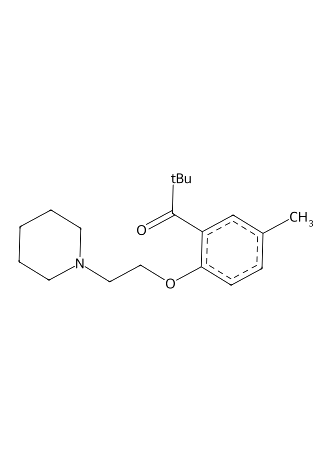 Cc1ccc(OCCN2CCCCC2)c(C(=O)C(C)(C)C)c1